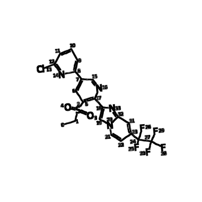 CCS(=O)(=O)c1cc(-c2cccc(Cl)n2)cnc1-c1cn2ccc(C(F)(F)C(F)(F)F)cc2n1